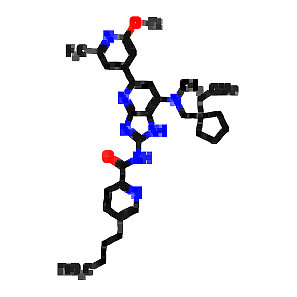 CCOC(=O)CCCc1ccc(C(=O)Nc2nc3nc(-c4cc(OCC)nc(C(F)(F)F)c4)cc(N(C)CC4(COC)CCCC4)c3[nH]2)nc1